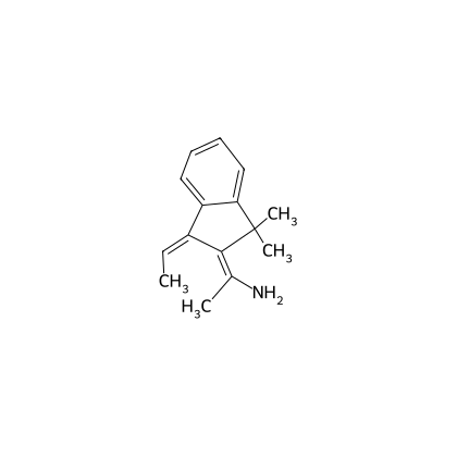 C/C=C1\C(=C(/C)N)C(C)(C)c2ccccc21